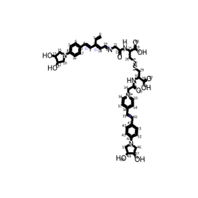 C=CC(/C=C/c1ccc(N2CC(O)C(O)C2)cc1)=C\C=N\CC(=O)NC(CSSCC(NC(=O)C[n+]1ccc(/C=C/c2ccc(N3CC(O)C(O)C3)cc2)cc1)C(=O)O)C(=O)O